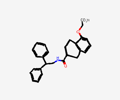 O=C(O)COc1cccc2c1CCC(C(=O)NCC(c1ccccc1)c1ccccc1)C2